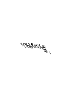 Cc1ccc2c(c1)C(C)(C)c1cc(-c3c4ccccc4c(-c4ccc5c(c4)C(C)(C)c4cc(-c6ccc(-c7ccc(-c8ccc(C)s8)c8nsnc78)s6)ccc4-5)c4ccccc34)ccc1-2